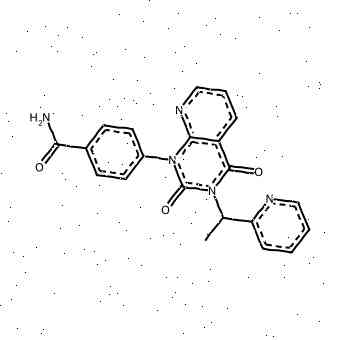 CC(c1ccccn1)n1c(=O)c2cccnc2n(-c2ccc(C(N)=O)cc2)c1=O